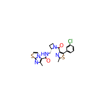 Cc1nc(C(=O)N2CC[C@H]2CNC(=O)c2c(C)nc3sccn23)c(-c2cccc(Cl)c2)s1